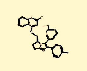 CNc1nccc(-c2c(-c3ccc(F)cc3)nc3n2C(COc2cc(Cl)nc4ccccc24)CC3)n1